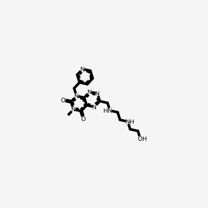 Cn1c(=O)c2nc(CNCCNCCO)nnc2n(Cc2cccnc2)c1=O